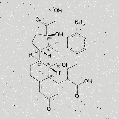 C[C@]12C[C@H](O)[C@H]3[C@@H](CCC4=CC(=O)CC(C(CCc5ccc(N)cc5)C(=O)O)[C@@]43C)[C@@H]1CC[C@]2(O)C(=O)CO